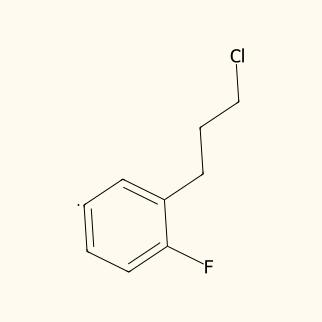 Fc1cc[c]cc1CCCCl